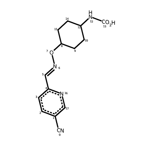 N#Cc1ccc(C=NOC2CCC(NC(=O)O)CC2)nc1